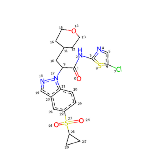 O=C(Nc1ncc(Cl)s1)C(CC1CCOCC1)n1ncc2cc(S(=O)(=O)C3CC3)ccc21